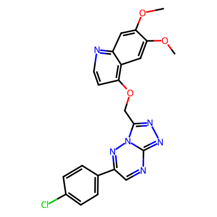 COc1cc2nccc(OCc3nnc4ncc(-c5ccc(Cl)cc5)nn34)c2cc1OC